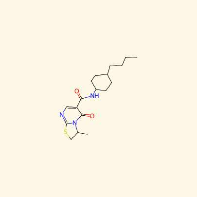 CCCCC1CCC(NC(=O)c2cnc3n(c2=O)C(C)CS3)CC1